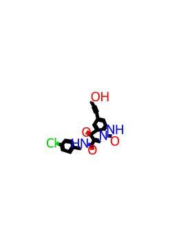 O=C(NCc1ccc(Cl)cc1)c1cn2c(=O)[nH]c3cc(C#CCO)cc(c1=O)c32